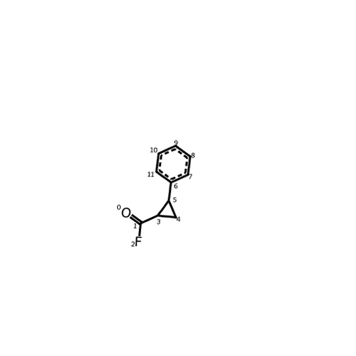 O=C(F)C1CC1c1ccccc1